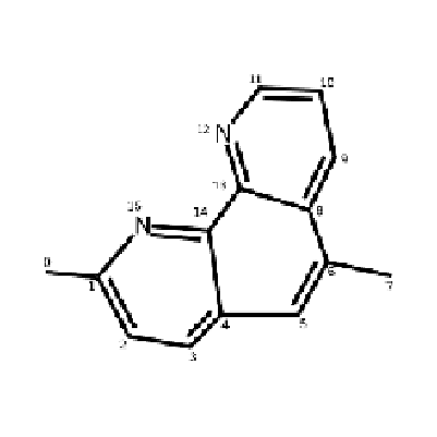 Cc1ccc2cc(C)c3cccnc3c2n1